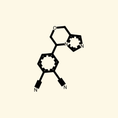 N#Cc1ccc(C2COCc3cncn32)cc1C#N